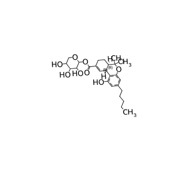 CCCCCc1cc(O)c2c(c1)OC(C)(C)[C@@H]1CCC(C(=O)OC3OCC(O)C(O)C3O)=C[C@@H]21